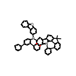 CC1(C)c2cccc3c2-c2c1ccc1c4cc(N(c5ccc6oc7ccccc7c6c5)c5ccc(-c6ccccc6)cc5-c5ccccc5)ccc4n(c21)-c1ccccc1-3